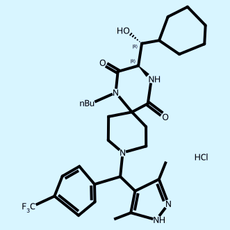 CCCCN1C(=O)[C@@H]([C@H](O)C2CCCCC2)NC(=O)C12CCN(C(c1ccc(C(F)(F)F)cc1)c1c(C)n[nH]c1C)CC2.Cl